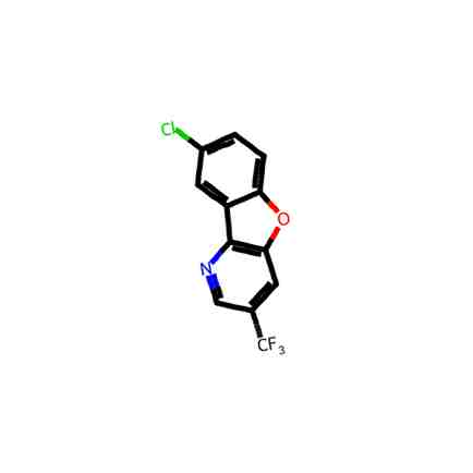 FC(F)(F)c1cnc2c(c1)oc1ccc(Cl)cc12